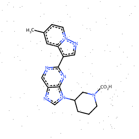 Cc1ccn2ncc(-c3ncc4ncn(C5CCCN(C(=O)O)C5)c4n3)c2c1